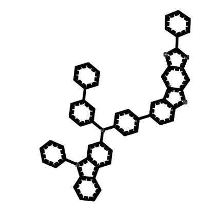 c1ccc(-c2cccc(N(c3ccc(-c4ccc5oc6cc7nc(-c8ccccc8)oc7cc6c5c4)cc3)c3ccc4c5ccccc5n(-c5ccccc5)c4c3)c2)cc1